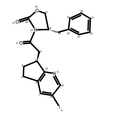 O=C(C[C@@H]1CCc2cc(I)cnc21)N1C(=O)OC[C@@H]1Cc1ccccc1